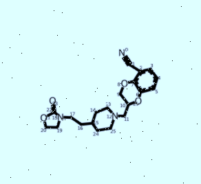 N#Cc1cccc2c1OCC(CN1CCC(CCN3CCOC3=O)CC1)O2